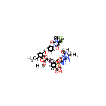 CCc1ccc(COc2ccc(-n3c(=O)cc(C(F)(F)F)n(C)c3=O)cc2)c(OC(C)C(=O)OC)c1.COc1nc(C)nc(NC(=O)NS(=O)(=O)c2cc(I)ccc2C(=O)O)n1